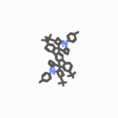 C=C(C)c1ccc2c(c1)C1(c3cc4c(cc3-2)C2(c3cc(C(C)(C)C)ccc3-4)c3ccccc3N(c3ccc(C)cc3)c3cc(C(C)(C)C)ccc32)c2ccccc2N(c2ccc(C)cc2)c2ccc(C(C)(C)C)cc21